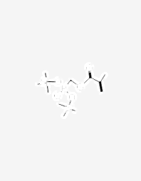 C=C(C)C(=O)OCP(=O)(O[Si](C)(C)C)O[Si](C)(C)C